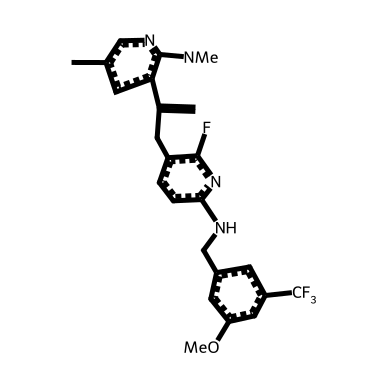 C=C(Cc1ccc(NCc2cc(OC)cc(C(F)(F)F)c2)nc1F)c1cc(C)cnc1NC